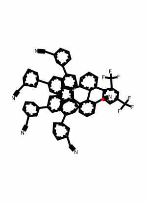 N#Cc1cccc(-c2ccc3c(c2)c2cc(-c4cccc(C#N)c4)ccc2n3-c2cccc(C#N)c2-c2c(-c3ccc(C(F)(F)F)cc3C(F)(F)F)cccc2-n2c3ccc(-c4cccc(C#N)c4)cc3c3cc(-c4cccc(C#N)c4)ccc32)c1